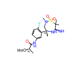 CO[C@H](C)C(=O)Nc1ccc(F)c([C@]2(C)CN(C)S(=O)(=O)C(C)(C)C(=N)N2)c1